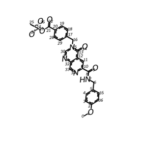 COc1ccc(CNC(=O)c2cc3c(=O)n(Cc4ccc(C(=O)OS(C)(=O)=O)cc4)cnc3cn2)cc1